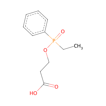 CCP(=O)(OCCC(=O)O)c1ccccc1